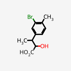 Cc1ccc(C(C)C(O)C(=O)O)cc1Br